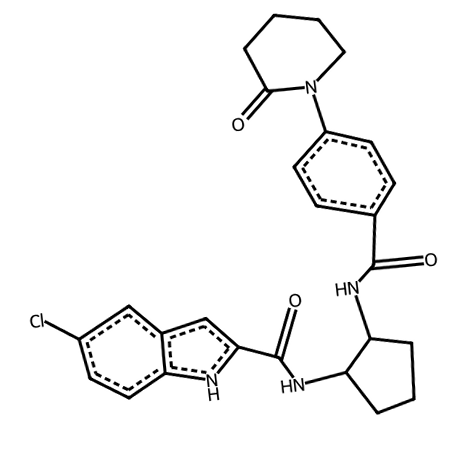 O=C(NC1CCCC1NC(=O)c1cc2cc(Cl)ccc2[nH]1)c1ccc(N2CCCCC2=O)cc1